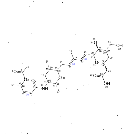 CC(=O)O[C@@H](C)/C=C\C(=O)N[C@@H]1C[C@H](C)[C@H](C/C=C(C)/C=C/[C@H]2O[C@H](CC(=O)O)C[C@@H](CO)[C@@H]2O)O[C@@H]1C